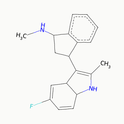 CNC1CC(C2=C(C)NC3C=CC(F)=CC23)c2ccccc21